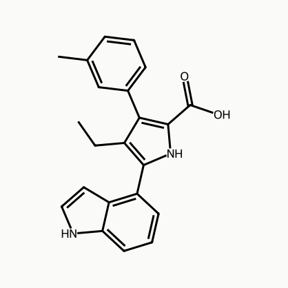 CCc1c(-c2cccc3[nH]ccc23)[nH]c(C(=O)O)c1-c1cccc(C)c1